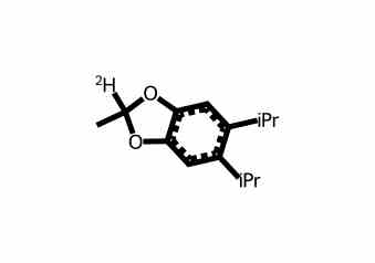 [2H]C1(C)Oc2cc(C(C)C)c(C(C)C)cc2O1